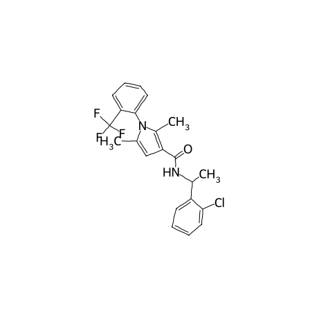 Cc1cc(C(=O)NC(C)c2ccccc2Cl)c(C)n1-c1ccccc1C(F)(F)F